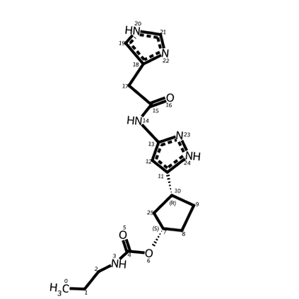 CCCNC(=O)O[C@H]1CC[C@@H](c2cc(NC(=O)Cc3c[nH]cn3)n[nH]2)C1